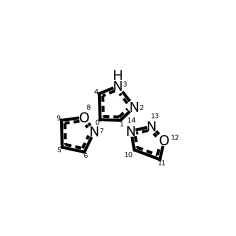 c1cn[nH]c1.c1cnoc1.c1conn1